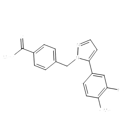 COC(=O)c1ccc(Cn2nccc2-c2ccc(OC)c(F)c2)cc1